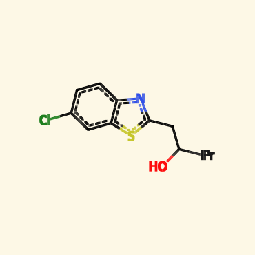 CC(C)C(O)Cc1nc2ccc(Cl)cc2s1